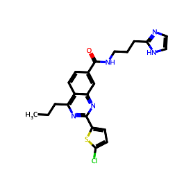 CCCc1nc(-c2ccc(Cl)s2)nc2cc(C(=O)NCCCc3ncc[nH]3)ccc12